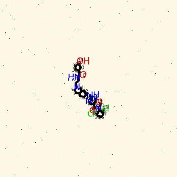 O=C(NCCN1CCc2ccc(Nc3ncc4c(n3)OCN(c3c(Cl)cccc3Cl)C4=O)cc2C1)C1CCC(O)C1